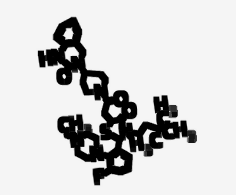 CCN1CCN(c2c(F)cccc2C2SC(CC(=O)N3CCC(N4Cc5ccccc5NC4=O)CC3)C(=O)N2CCC(C)(C)C)CC1